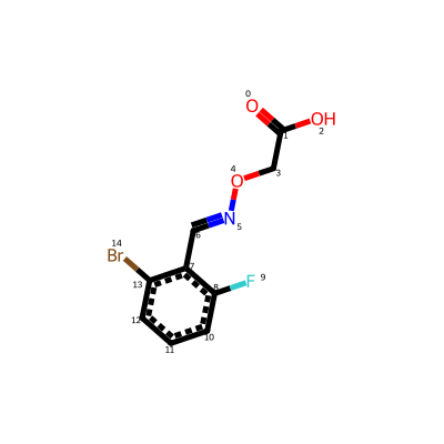 O=C(O)CON=Cc1c(F)cccc1Br